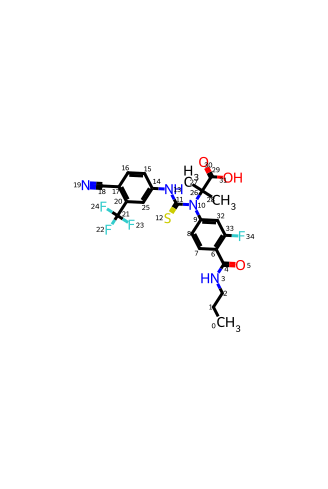 CCCNC(=O)c1ccc(N(C(=S)Nc2ccc(C#N)c(C(F)(F)F)c2)C(C)(C)C(=O)O)cc1F